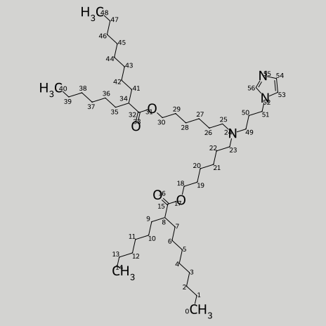 CCCCCCCCC(CCCCCC)C(=O)OCCCCCCN(CCCCCCOC(=O)C(CCCCCC)CCCCCCCC)CCCn1ccnc1